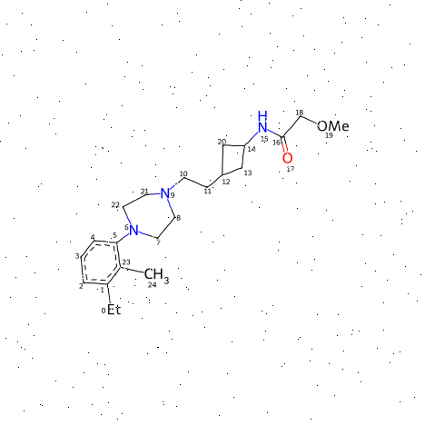 CCc1cccc(N2CCN(CCC3CC(NC(=O)COC)C3)CC2)c1C